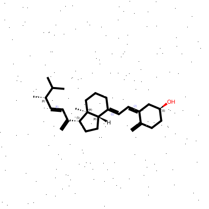 C=C1CC[C@H](O)C/C1=C/C=C1\CCC[C@]2(C)[C@@H](C(=C)/C=C/[C@H](C)C(C)C)CC[C@@H]12